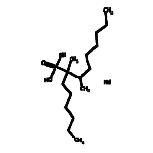 CCCCCCC(C)C(C)(CCCCCC)P(=O)(O)O.[Nd]